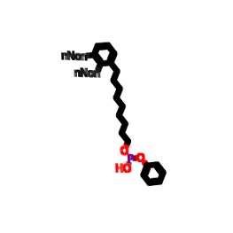 CCCCCCCCCc1cccc(CCCCCCCCCOP(O)Oc2ccccc2)c1CCCCCCCCC